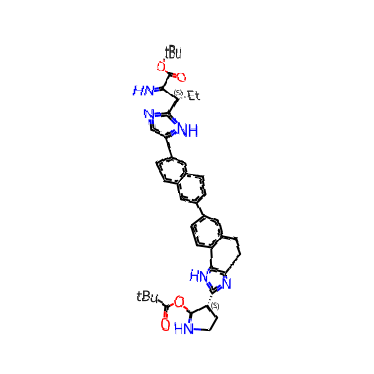 CC[C@@H](C(=N)C(=O)OC(C)(C)C)c1ncc(-c2ccc3cc(-c4ccc5c(c4)CCc4nc([C@@H]6CCNC6OC(=O)C(C)(C)C)[nH]c4-5)ccc3c2)[nH]1